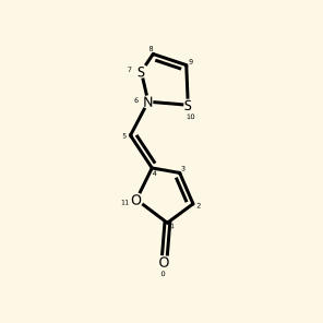 O=C1C=CC(=CN2SC=CS2)O1